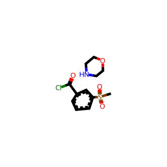 C1COCCN1.CS(=O)(=O)c1cccc(C(=O)Cl)c1